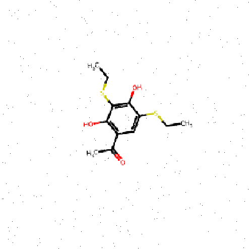 CCSc1cc(C(C)=O)c(O)c(SCC)c1O